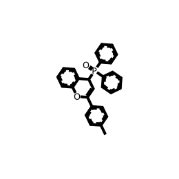 Cc1ccc(C2=CC(P(=O)(c3ccccc3)c3ccccc3)c3ccccc3O2)cc1